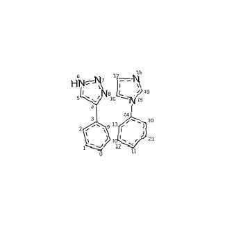 c1ccc(-c2c[nH]nn2)cc1.c1ccc(-n2ccnc2)cc1